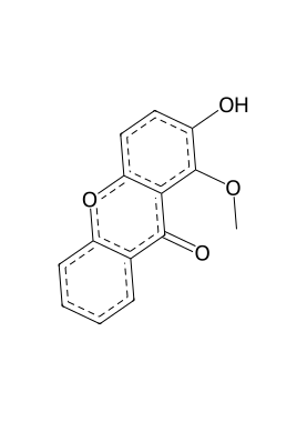 COc1c(O)ccc2oc3ccccc3c(=O)c12